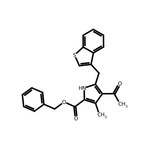 CC(=O)c1c(Cc2csc3ccccc23)[nH]c(C(=O)OCc2ccccc2)c1C